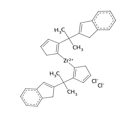 CC(C)(C1=Cc2ccccc2C1)C1=[C]([Zr+2][C]2=C(C(C)(C)C3=Cc4ccccc4C3)C=CC2)CC=C1.[Cl-].[Cl-]